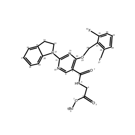 CC(C)(C)OC(=O)CNC(=O)c1cnc(N2CCc3ccccc32)nc1OCc1c(F)cccc1F